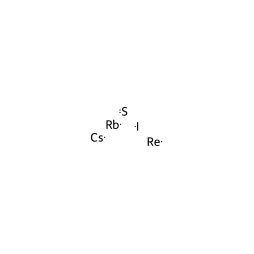 [Cs].[I].[Rb].[Re].[S]